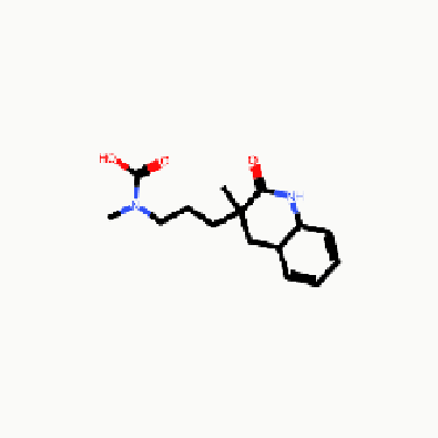 CN(CCCC1(C)CC2C=CC=CC2NC1=O)C(=O)O